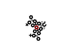 C=CC1=C2B(c3cc4c(cc3O1)-c1ccc(N(c3ccccc3)c3ccc(C(C)(C)C)cc3)cc1C4(c1ccccc1)c1ccccc1)c1cc3c(cc1O/C2=C/C)-c1ccc(N(c2ccccc2)c2ccc(C(C)(C)C)cc2)cc1C3(c1ccccc1)c1ccccc1